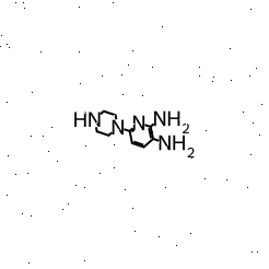 Nc1ccc(N2CCNCC2)nc1N